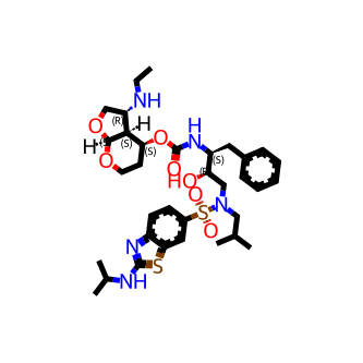 CCN[C@H]1CO[C@@H]2OCC[C@H](OC(=O)N[C@@H](Cc3ccccc3)[C@H](O)CN(CC(C)C)S(=O)(=O)c3ccc4nc(NC(C)C)sc4c3)[C@@H]21